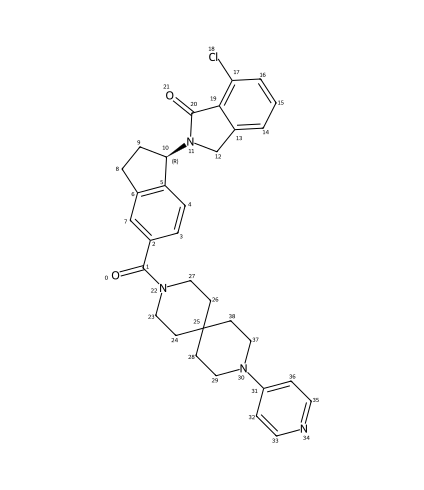 O=C(c1ccc2c(c1)CC[C@H]2N1Cc2cccc(Cl)c2C1=O)N1CCC2(CC1)CCN(c1ccncc1)CC2